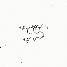 C=CC1CC(C)=CC(=O)[C@@H]1[C@H]1C(=O)C=CC[C@@H]1C(=C)C